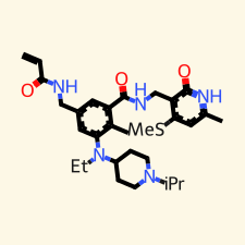 C=CC(=O)NCc1cc(C(=O)NCc2c(SC)cc(C)[nH]c2=O)c(C)c(N(CC)C2CCN(C(C)C)CC2)c1